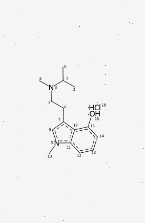 CC(C)N(C)CCc1cn(C)c2cccc(O)c12.Cl